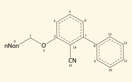 CCCCCCCCCCOc1cccc(-c2ccccc2)c1C#N